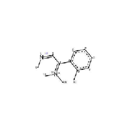 C/N=C\C(c1ccccc1C)=[N+](C)C